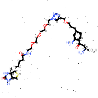 Nc1cc(CCCOCc2cn(CCOCCOCCOCCNC(=O)CCCC[C@@H]3SCC4NC(=O)N[C@@H]43)nn2)ccc1C(=O)C[C@H](N)C(=O)O